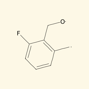 [CH2]c1cccc(F)c1C[O]